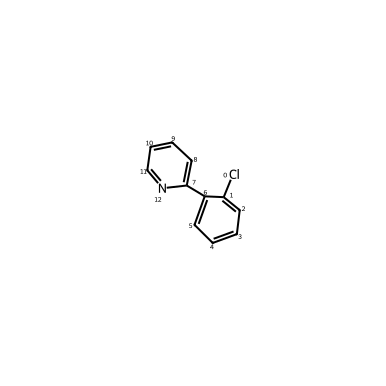 Clc1ccccc1-c1ccccn1